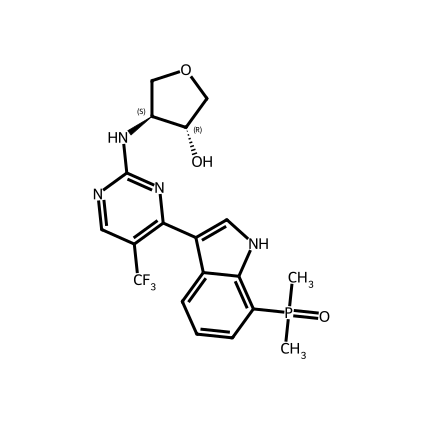 CP(C)(=O)c1cccc2c(-c3nc(N[C@H]4COC[C@@H]4O)ncc3C(F)(F)F)c[nH]c12